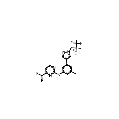 Cc1cc(Nc2nccc(C(F)F)n2)cc(-c2cnn(C[C@@](C)(O)C(F)(F)F)c2)c1